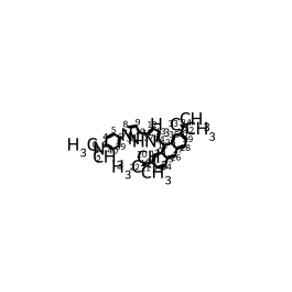 CN(C)c1ccc(-n2ccc(-c3ccc(-c4c5cc(C(C)(C)C)ccc5cc5ccc(C(C)(C)C)cc45)[nH]3)n2)cc1